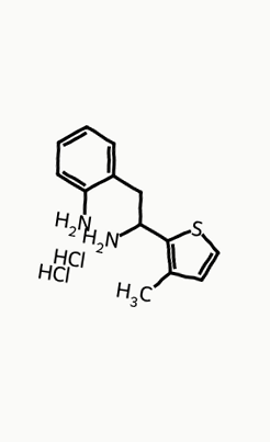 Cc1ccsc1C(N)Cc1ccccc1N.Cl.Cl